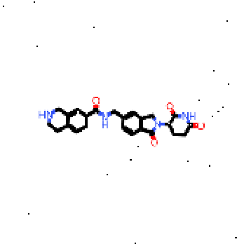 O=C1CCC(N2Cc3cc(CNC(=O)C4C=C5CNCCC5=CC4)ccc3C2=O)C(=O)N1